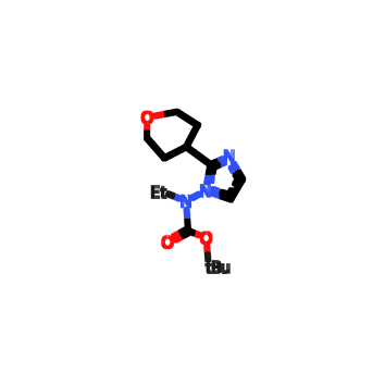 CCN(C(=O)OC(C)(C)C)n1ccnc1C1CCOCC1